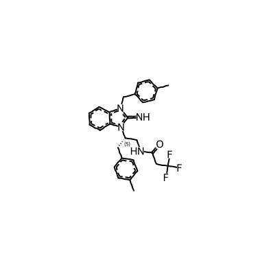 Cc1ccc(C[C@@H](CNC(=O)CC(F)(F)F)n2c(=N)n(Cc3ccc(C)cc3)c3ccccc32)cc1